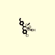 C=Cc1ccc(C(Cc2ccc(Cl)cc2)[C@@H](CC(=O)NO)OCC)cc1